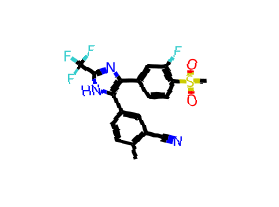 Cc1ccc(-c2[nH]c(C(F)(F)F)nc2-c2ccc(S(C)(=O)=O)c(F)c2)cc1C#N